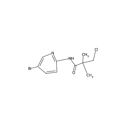 CC(C)(CCl)C(=O)Nc1ccc(Br)cn1